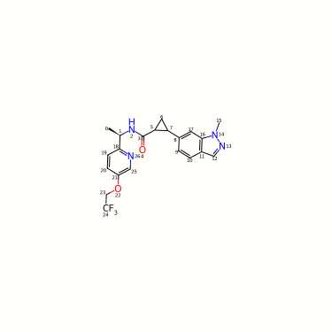 C[C@@H](NC(=O)C1CC1c1ccc2cnn(C)c2c1)c1ccc(OCC(F)(F)F)cn1